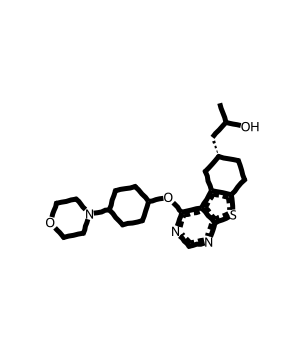 CC(O)C[C@@H]1CCc2sc3ncnc(OC4CCC(N5CCOCC5)CC4)c3c2C1